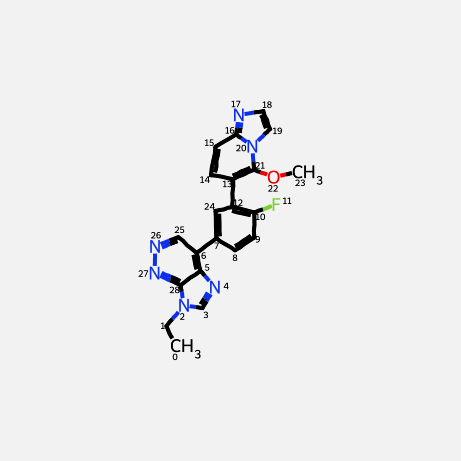 CCn1cnc2c(-c3ccc(F)c(-c4ccc5nccn5c4OC)c3)cnnc21